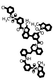 CC1Cc2c(-c3cc(C(=O)N4CCC(Cc5ccccc5NC(=O)c5cccc(S(=O)(=O)N6c7ccccc7CC6C)c5)c5ccccc54)cc(S(=O)(=O)N4c5ccccc5CC4C)c3)cccc2N1C(=O)c1cccc(S(=O)(=O)N(C)c2cccc(Cl)c2)c1